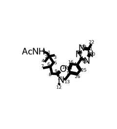 CC(=O)NCC(C)(C)CC(C)CC(=O)N(C)Cc1ccc(-c2nnc(C)nn2)cc1